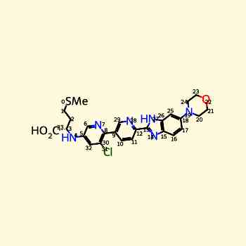 CSCC[C@H](Nc1cnc(-c2ccc(-c3nc4ccc(N5CCOCC5)cc4[nH]3)nc2)c(Cl)c1)C(=O)O